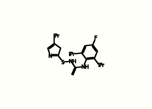 C=C(NSC1=NC=C(C(C)C)C1)Nc1c(C(C)C)cc(F)cc1C(C)C